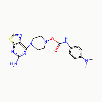 CN(C)c1ccc(NC(=O)ON2CCN(c3nc(N)nc4scnc34)CC2)cc1